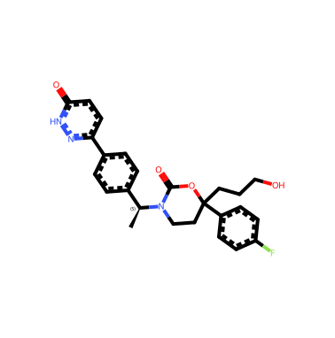 C[C@@H](c1ccc(-c2ccc(=O)[nH]n2)cc1)N1CCC(CCCO)(c2ccc(F)cc2)OC1=O